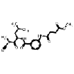 COC(=O)CCC(=O)Nc1cccc(C(=O)NC(CC(C)C)C(=O)N(C)C#N)c1